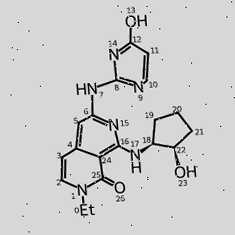 CCn1ccc2cc(Nc3nccc(O)n3)nc(N[C@H]3CCC[C@H]3O)c2c1=O